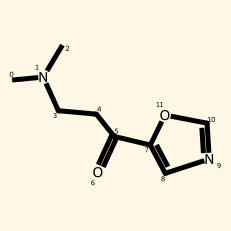 CN(C)CCC(=O)c1cnco1